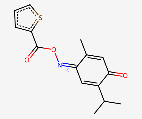 CC1=CC(=O)C(C(C)C)=C/C1=N/OC(=O)c1cccs1